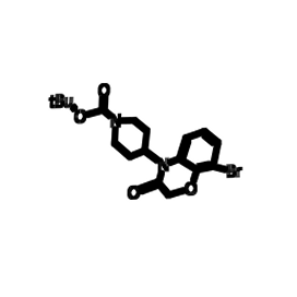 CC(C)(C)OC(=O)N1CCC(N2C(=O)COc3c(Br)cccc32)CC1